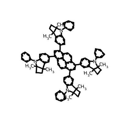 CC12CCC1(C)N(c1ccccc1)c1ccc(-c3cc(-c4ccc5c(c4)C4(C)CCC4(C)N5c4ccccc4)c4ccc5c(-c6ccc7c(c6)C6(C)CCC6(C)N7c6ccccc6)cc(-c6ccc7c(c6)C6(C)CCC6(C)N7c6ccccc6)c6ccc3c4c65)cc12